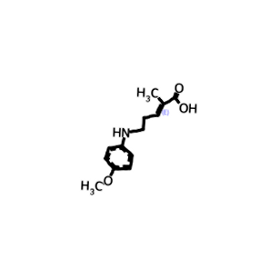 COc1ccc(NCC/C=C(\C)C(=O)O)cc1